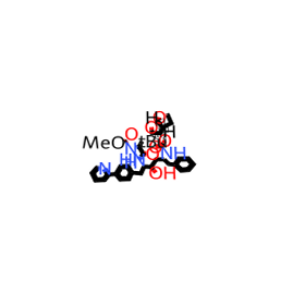 COC(=O)NC(C(=O)NC(Cc1ccc(-c2ccccn2)cc1)C(O)CC(Cc1ccccc1)NC(=O)O[C@H]1CO[C@@H]2OCC[C@@H]21)C(C)(C)C